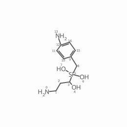 NCCC(O)[Si](O)(O)Cc1ccc(N)cc1